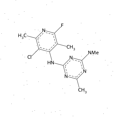 CNc1nc(C)nc(Nc2c(C)c(F)nc(C)c2Cl)n1